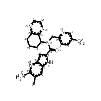 Cc1cc2[nH]c(C(=O)N(Cc3ccc(C(F)(F)F)cn3)C3CCCc4nccnc43)cc2nc1N